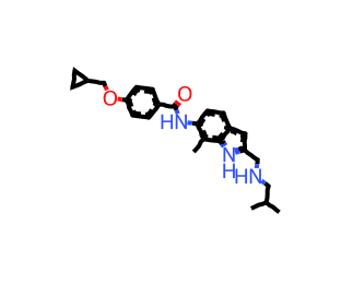 Cc1c(NC(=O)c2ccc(OCC3CC3)cc2)ccc2cc(CNCC(C)C)[nH]c12